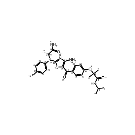 CC(C)NC(=O)C(C)(C)Oc1ccc(C(=O)c2sc(N(c3ccc(F)cc3)[C@H](C)C(N)=O)nc2N)cc1